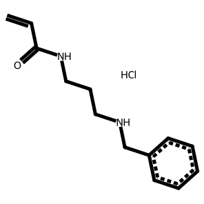 C=CC(=O)NCCCNCc1ccccc1.Cl